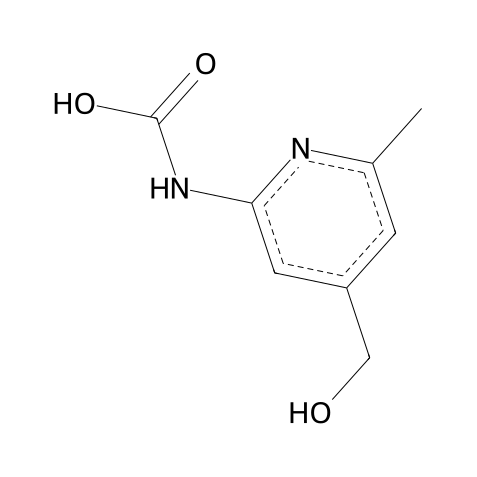 Cc1cc(CO)cc(NC(=O)O)n1